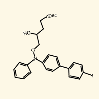 CCCCCCCCCCCCC(O)CON(c1ccccc1)c1ccc(-c2ccc(I)cc2)cc1